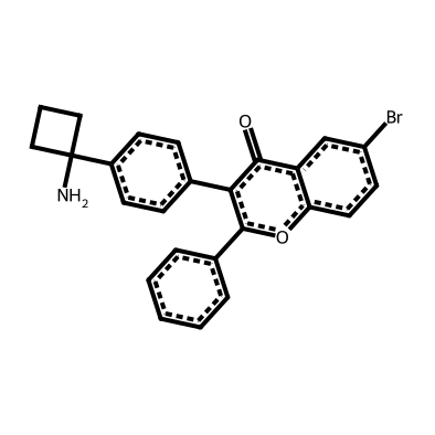 NC1(c2ccc(-c3c(-c4ccccc4)oc4ccc(Br)cc4c3=O)cc2)CCC1